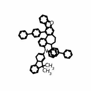 CC1(C)C2=CC(N(c3ccc(-c4ccccc4)cc3)c3cccc4c3C(c3ccccc3)CCc3cc5oc6ccccc6c5c(-c5ccc(-c6ccccc6)cc5)c3-4)=CCC2c2ccccc21